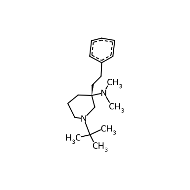 CN(C)[C@@]1(CCc2ccccc2)CCCN(C(C)(C)C)C1